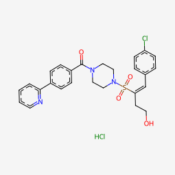 Cl.O=C(c1ccc(-c2ccccn2)cc1)N1CCN(S(=O)(=O)/C(=C\c2ccc(Cl)cc2)CCO)CC1